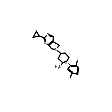 NC1CC(N2Cc3cnc(C4CC4)nc3C2)CC[C@@H]1c1cc(F)ccc1F